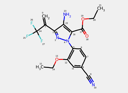 C=C(c1nn(-c2ccc(C#N)cc2OCC)c(C(=O)OCC)c1N)C(F)(F)F